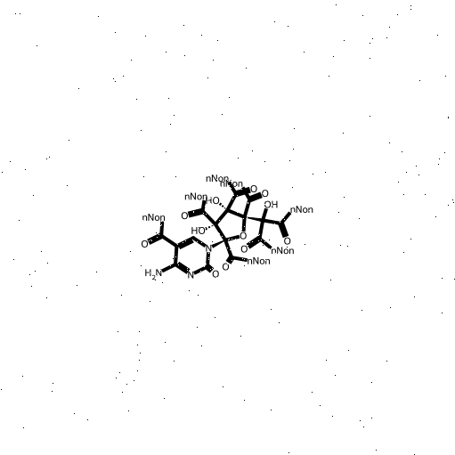 CCCCCCCCCC(=O)c1cn([C@]2(C(=O)CCCCCCCCC)O[C@](C(=O)CCCCCCCCC)(C(O)(C(=O)CCCCCCCCC)C(=O)CCCCCCCCC)[C@](O)(C(=O)CCCCCCCCC)[C@]2(O)C(=O)CCCCCCCCC)c(=O)nc1N